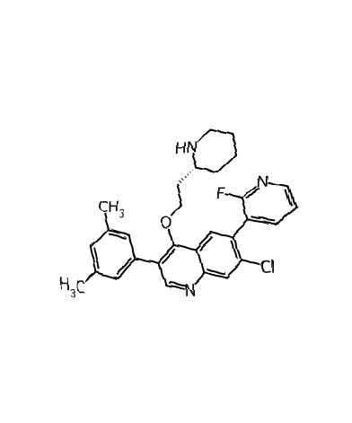 Cc1cc(C)cc(-c2cnc3cc(Cl)c(-c4cccnc4F)cc3c2OCC[C@H]2CCCCN2)c1